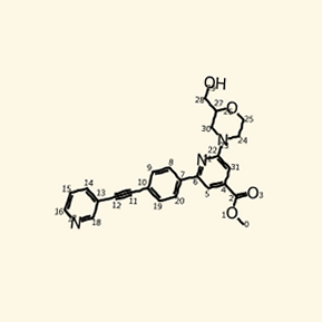 COC(=O)c1cc(-c2ccc(C#Cc3cccnc3)cc2)nc(N2CCOC(CO)C2)c1